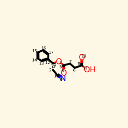 N#CC[C@@H](OC(=O)CCC(=O)O)c1ccccc1